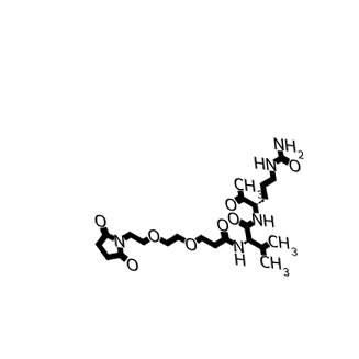 CC(=O)[C@H](CCCNC(N)=O)NC(=O)[C@@H](NC(=O)CCOCCOCCN1C(=O)CCC1=O)C(C)C